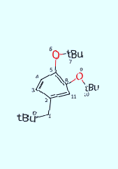 CC(C)(C)Cc1ccc(OC(C)(C)C)c(OC(C)(C)C)c1